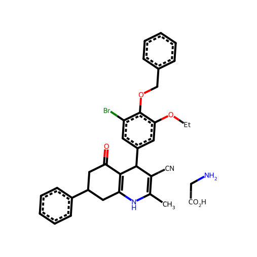 CCOc1cc(C2C(C#N)=C(C)NC3=C2C(=O)CC(c2ccccc2)C3)cc(Br)c1OCc1ccccc1.NCC(=O)O